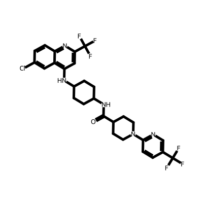 O=C(NC1CCC(Nc2cc(C(F)(F)F)nc3ccc(Cl)cc23)CC1)C1CCN(c2ccc(C(F)(F)F)cn2)CC1